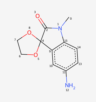 CN1C(=O)C2(OCCO2)c2cc(N)ccc21